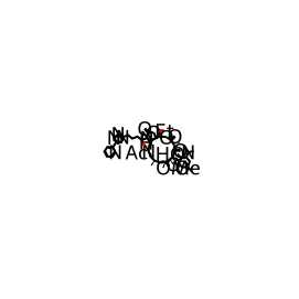 CC[C@H]1OC(=O)[C@H](C)C(=O)C[C@@H](O[C@@H]2OC(C)CC(N(C)C)C2O)[C@@](C)(OC)C[C@@H](C)CN(C(C)=O)[C@H](C)[C@H]2N(CCCCn3cc(-c4ccccn4)nn3)C(=O)O[C@]12C